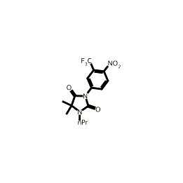 CCCN1C(=O)N(c2ccc([N+](=O)[O-])c(C(F)(F)F)c2)C(=O)C1(C)C